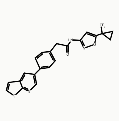 O=C(Cc1ccc(-c2cnc3sccc3c2)cc1)Nc1cc(C2(C(F)(F)F)CC2)on1